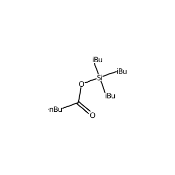 CCC[CH]C(=O)O[Si](C(C)CC)(C(C)CC)C(C)CC